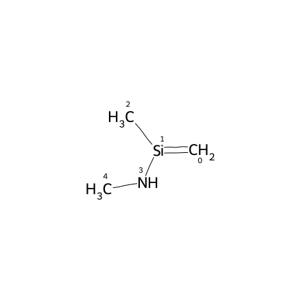 C=[Si](C)NC